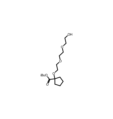 CC(C)COC(=O)C1(OCCOCCOCCO)CCCC1